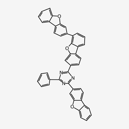 c1ccc(-c2nc(-c3ccc4c(c3)oc3ccccc34)nc(-c3ccc4c(c3)oc3c(-c5ccc6c(c5)oc5ccccc56)cccc34)n2)cc1